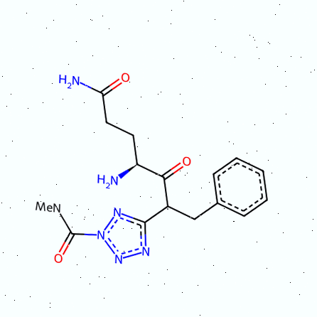 CNC(=O)n1nnc([C](Cc2ccccc2)C(=O)[C@@H](N)CCC(N)=O)n1